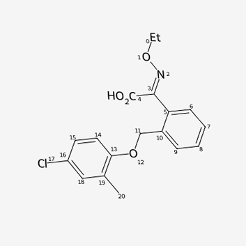 CCO/N=C(\C(=O)O)c1ccccc1COc1ccc(Cl)cc1C